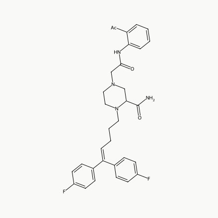 CC(=O)c1ccccc1NC(=O)CN1CCN(CCCC=C(c2ccc(F)cc2)c2ccc(F)cc2)C(C(N)=O)C1